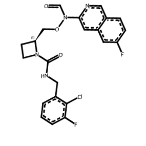 O=CN(OC[C@@H]1CCN1C(=O)NCc1cccc(F)c1Cl)c1cc2cc(F)ccc2cn1